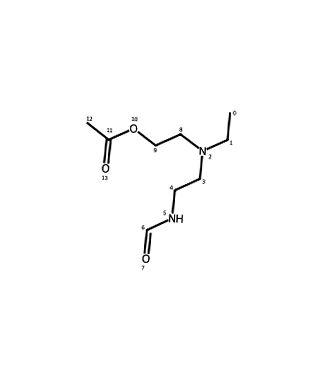 CCN(CCNC=O)CCOC(C)=O